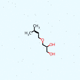 CC(C)=CCOCC(O)CO